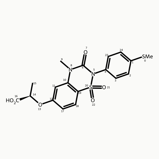 CSc1ccc(N2C(=O)N(C)c3cc(O[C@H](C)C(=O)O)ccc3S2(=O)=O)cc1